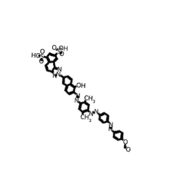 Cc1cc(N=Nc2ccc3cc(-n4nc5ccc6c(S(=O)(=O)O)cc(S(=O)(=O)O)cc6c5n4)ccc3c2O)c(C)cc1N=Nc1ccc(N=Nc2ccc(OC=O)cc2)cc1